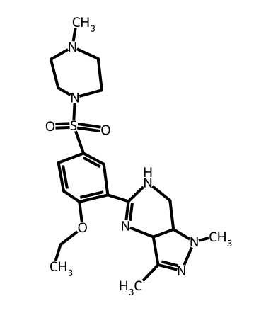 CCOc1ccc(S(=O)(=O)N2CCN(C)CC2)cc1C1=NC2C(C)=NN(C)C2CN1